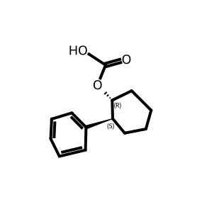 O=C(O)O[C@@H]1CCCC[C@H]1c1ccccc1